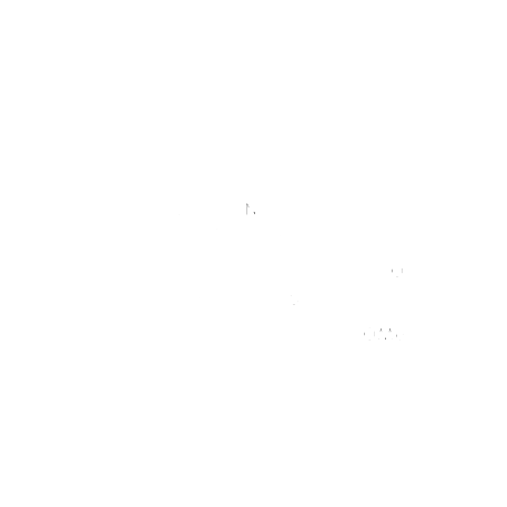 COC(=O)c1cc2c(s1)c(C1CCCCC1)c1n2CC=Cc2ccccc2-1